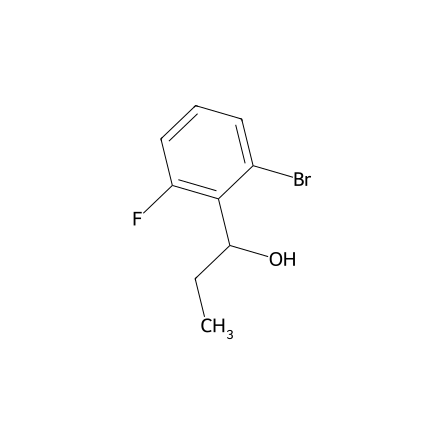 CCC(O)c1c(F)cccc1Br